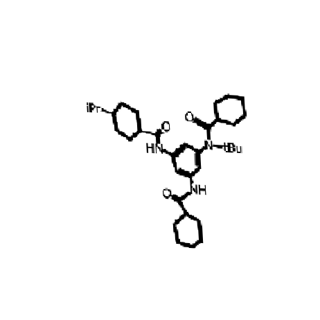 CC(C)[C@H]1CC[C@@H](C(=O)Nc2cc(NC(=O)C3CCCCC3)cc(N(C(=O)C3CCCCC3)C(C)(C)C)c2)CC1